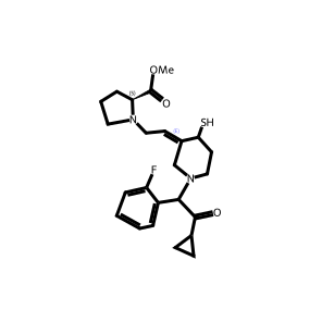 COC(=O)[C@@H]1CCCN1C/C=C1\CN(C(C(=O)C2CC2)c2ccccc2F)CCC1S